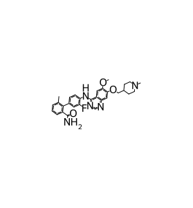 COc1cc2c(Nc3ccc(-c4c(C)cccc4C(N)=O)cc3F)ncnc2cc1OCC1CCN(C)CC1